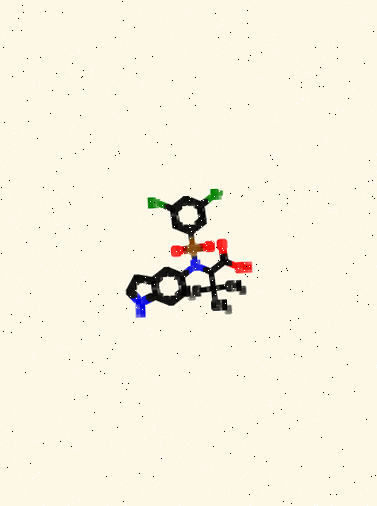 CC(C)(C)C(C(=O)O)N(c1ccc2[nH]ccc2c1)S(=O)(=O)c1cc(Br)cc(Br)c1